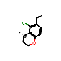 CCc1ccc2c(c1Cl)[C@@H](C)CCO2